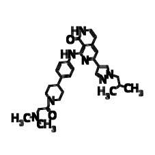 CC(C)Cn1cc(-c2cc3cc[nH]c(=O)c3c(Nc3ccc(C4CCN(C(=O)CN(C)C)CC4)cc3)n2)cn1